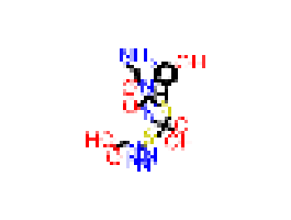 NCCC(=O)N(c1ccc(O)cc1)C1C(=O)N2CC(CSc3nnnn3CC(=O)O)(C(=O)O)CS[C@H]12